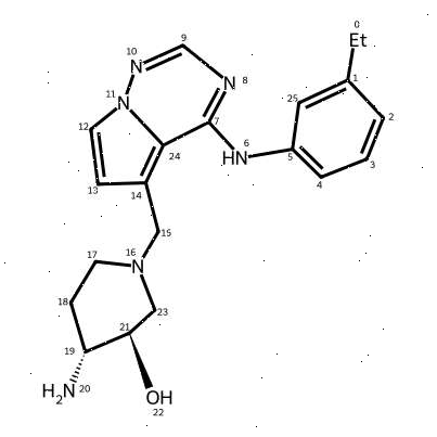 CCc1cccc(Nc2ncnn3ccc(CN4CC[C@@H](N)[C@H](O)C4)c23)c1